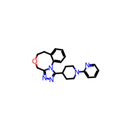 c1ccc(N2CCC(c3nnc4n3-c3ccccc3CCOC4)CC2)nc1